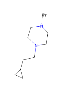 CC(C)N1CCN(CCC2CC2)CC1